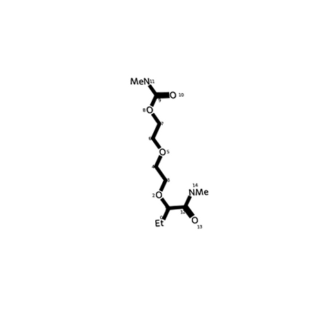 CCC(OCCOCCOC(=O)NC)C(=O)NC